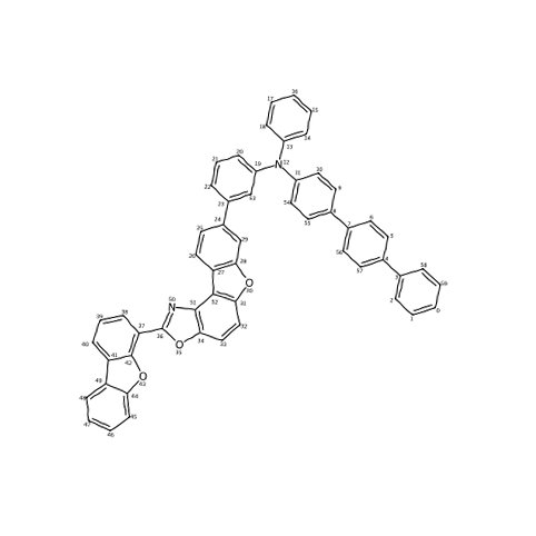 c1ccc(-c2ccc(-c3ccc(N(c4ccccc4)c4cccc(-c5ccc6c(c5)oc5ccc7oc(-c8cccc9c8oc8ccccc89)nc7c56)c4)cc3)cc2)cc1